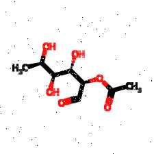 CC(=O)O[C@@H](C=O)[C@@H](O)[C@@H](O)[C@@H](C)O